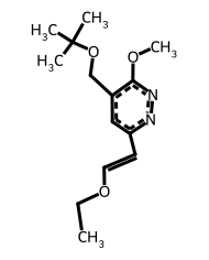 CCOC=Cc1cc(COC(C)(C)C)c(OC)nn1